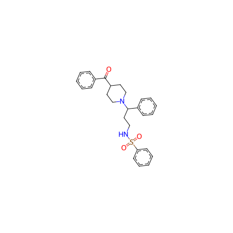 O=C(c1ccccc1)C1CCN(C(CCNS(=O)(=O)c2ccccc2)c2ccccc2)CC1